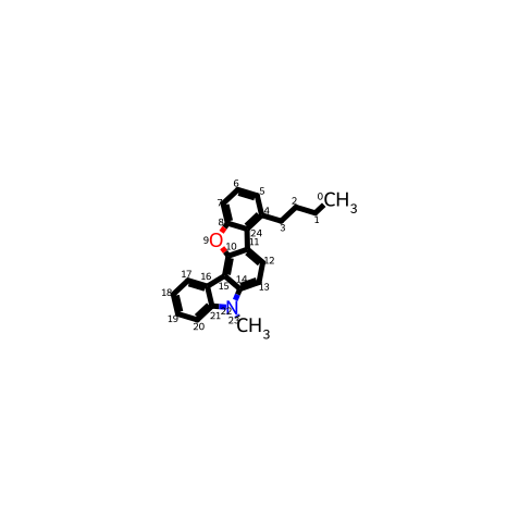 CCCCc1cccc2oc3c(ccc4c3c3ccccc3n4C)c12